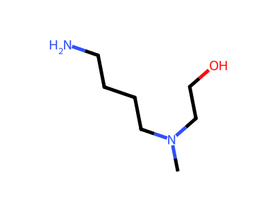 CN(CCO)CCCCN